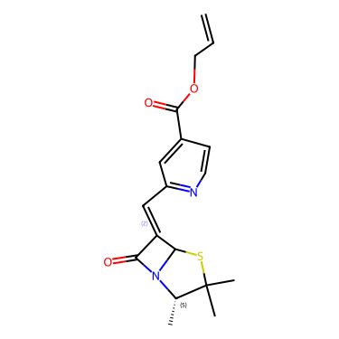 C=CCOC(=O)c1ccnc(/C=C2/C(=O)N3C2SC(C)(C)[C@@H]3C)c1